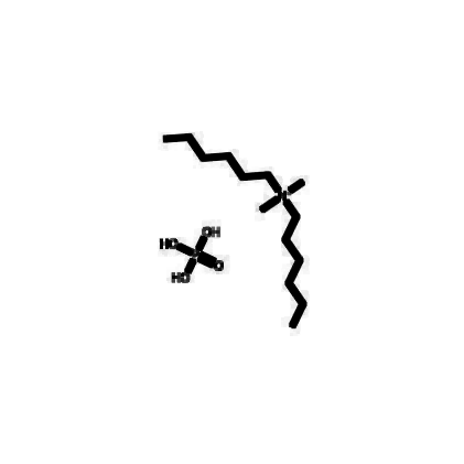 CCCCCC[N+](C)(C)CCCCCC.O=P(O)(O)O